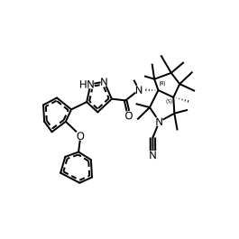 CN(C(=O)c1cc(-c2ccccc2Oc2ccccc2)[nH]n1)[C@@]12C(C)(C)N(C#N)C(C)(C)[C@]1(C)C(C)(C)C(C)(C)C2(C)C